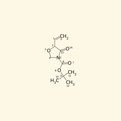 C=CC1OCN(C(=O)OC(C)(C)C)C1=O